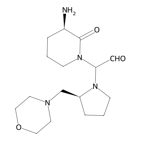 N[C@@H]1CCCN(C(C=O)N2CCC[C@H]2CN2CCOCC2)C1=O